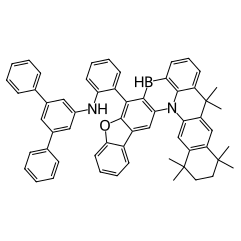 CC1(C)CCC(C)(C)c2cc3c(cc21)N1c2cc4c(oc5ccccc54)c(-c4ccccc4Nc4cc(-c5ccccc5)cc(-c5ccccc5)c4)c2Bc2cccc(c21)C3(C)C